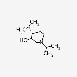 CC(C)[C@@H]1CCN(C(C)C)C[C@H]1O